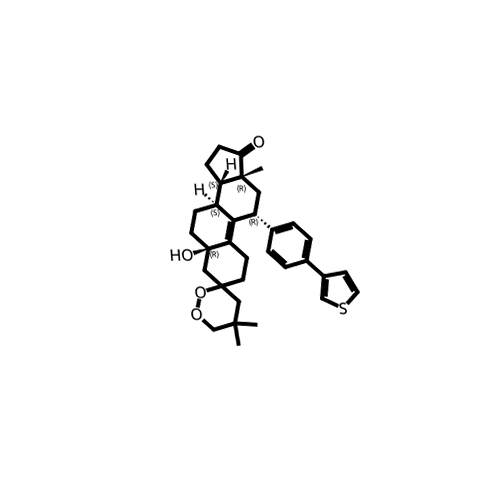 CC1(C)COOC2(CCC3=C4[C@@H](CC[C@@]3(O)C2)[C@@H]2CCC(=O)[C@]2(C)C[C@@H]4c2ccc(-c3ccsc3)cc2)C1